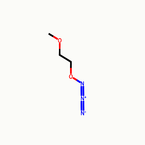 COCCON=[N+]=[N-]